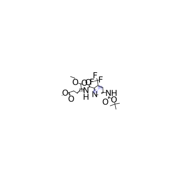 C=C(/C=C(\C(=N/C)C(=O)N[C@@H](CCC(=O)OC)C(=O)OCC)C(F)(F)F)NC(=O)OC(C)(C)C